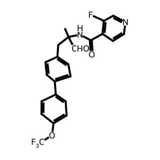 CC(C=O)(Cc1ccc(-c2ccc(OC(F)(F)F)cc2)cc1)NC(=O)c1ccncc1F